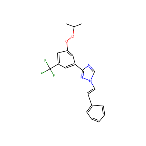 CC(C)OOc1cc(-c2ncn(C=Cc3ccccc3)n2)cc(C(F)(F)F)c1